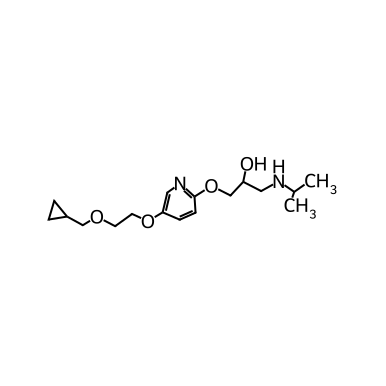 CC(C)NCC(O)COc1ccc(OCCOCC2CC2)cn1